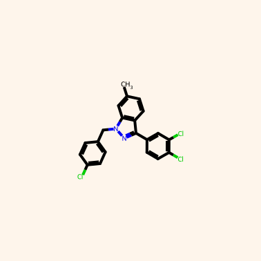 Cc1ccc2c(-c3ccc(Cl)c(Cl)c3)nn(Cc3ccc(Cl)cc3)c2c1